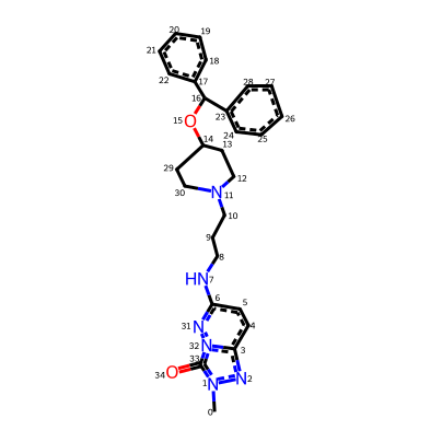 Cn1nc2ccc(NCCCN3CCC(OC(c4ccccc4)c4ccccc4)CC3)nn2c1=O